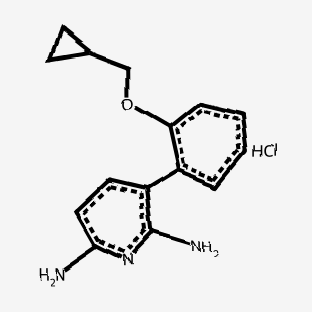 Cl.Nc1ccc(-c2ccccc2OCC2CC2)c(N)n1